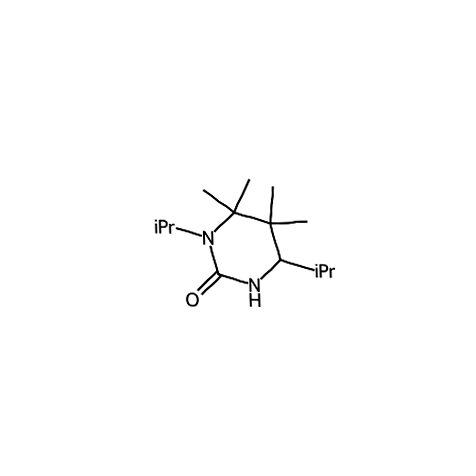 CC(C)C1NC(=O)N(C(C)C)C(C)(C)C1(C)C